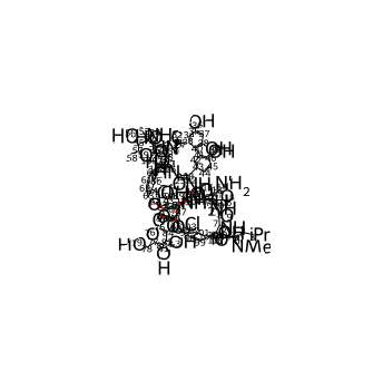 CN[C@H](CC(C)C)C(=O)NC1C(=O)N[C@@H](CC(N)=O)C(=O)N[C@H]2C(=O)NC3C(=O)N[C@H](C(=O)N[C@@H](C(=O)O)c4cc(O)cc(O)c4-c4cc3ccc4O)[C@H](OC3CC(C)(N)C(O)C(C)O3)c3ccc(c(Cl)c3)Oc3cc2cc(c3OC2OC(CO)C(O)C(O)C2OC2CC(C)(N)C(O)C(C)O2)Oc2ccc(cc2Cl)[C@H]1O